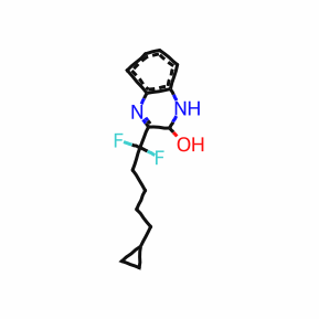 OC1Nc2ccccc2N=C1C(F)(F)CCCCC1CC1